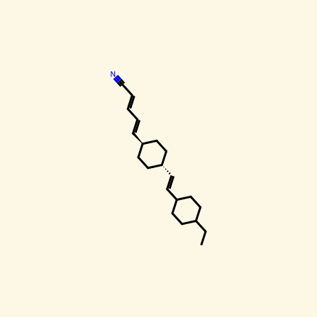 CCC1CCC(C=C[C@H]2CC[C@H](C=CC=CC#N)CC2)CC1